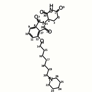 O=C1CCC(N2C(=O)c3cccc(OCCCCCCCN4CCCCC4)c3C2=O)C(=O)N1